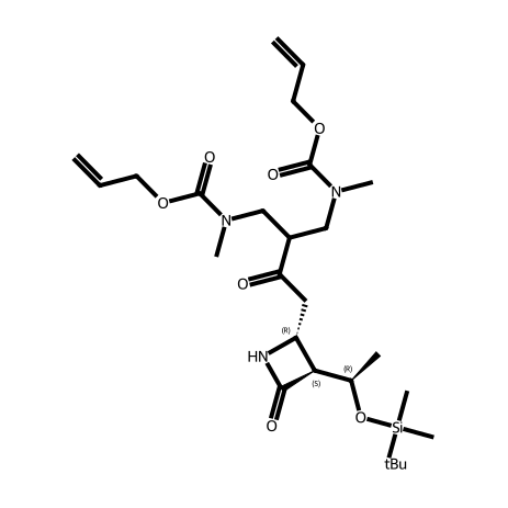 C=CCOC(=O)N(C)CC(CN(C)C(=O)OCC=C)C(=O)C[C@H]1NC(=O)[C@@H]1[C@@H](C)O[Si](C)(C)C(C)(C)C